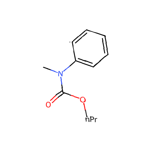 CCCOC(=O)N(C)c1[c]cccc1